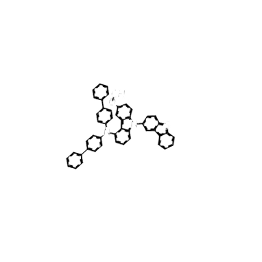 COc1ccc2c(c1)c1c(N(c3ccc(-c4ccccc4)cc3)c3ccc(-c4ccccc4)cc3)cccc1n2-c1ccc2sc3ccccc3c2c1